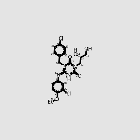 CCOc1ccc(/N=c2\[nH]c(=O)n(C[C@H](O)CO)c(=O)n2Cc2ccc(Cl)cc2)cc1Cl